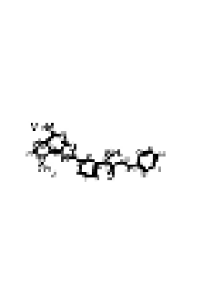 CNc1nc2oc(-c3cccc(C(N)C(=O)CCc4ccccc4)c3)nc2c2c1ncn2C